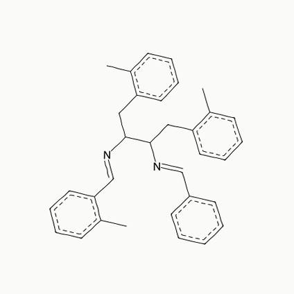 Cc1ccccc1/C=N/C(Cc1ccccc1C)C(Cc1ccccc1C)/N=C/c1ccccc1